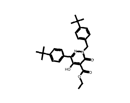 CCOC(=O)c1c(O)c(-c2ccc(C(C)(C)C)cc2)nn(Cc2ccc(C(C)(C)C)cc2)c1=O